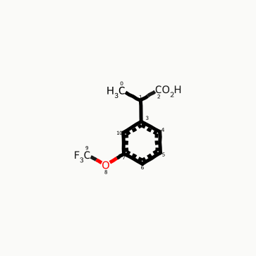 CC(C(=O)O)c1cccc(OC(F)(F)F)c1